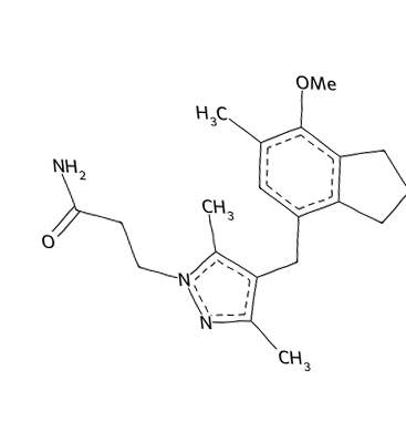 COc1c(C)cc(Cc2c(C)nn(CCC(N)=O)c2C)c2c1CCC2